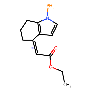 CCOC(=O)/C=C1/CCCc2c1ccn2P